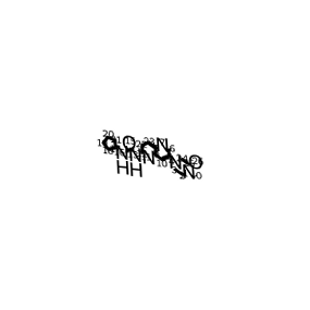 CN1CCN(c2cnc3c(c2)=NC(NC(=O)NC2CCCC2)CC=3)CC1=O